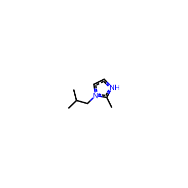 Cc1[nH]cc[n+]1CC(C)C